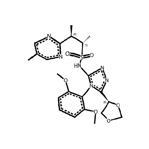 COc1cccc(OC)c1-n1c(NS(=O)(=O)[C@@H](C)[C@H](C)c2ncc(C)cn2)nnc1[C@@H]1COCO1